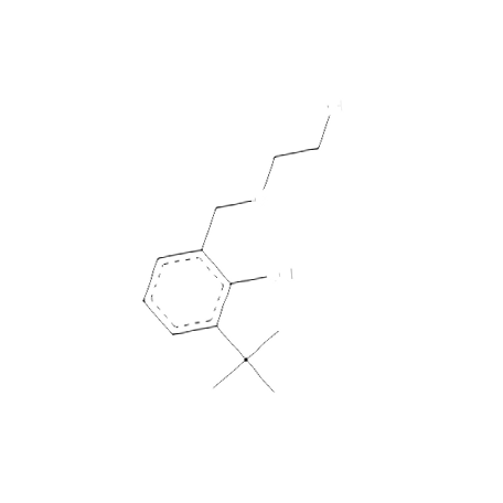 CC(C)(C)c1cccc(COCCO)c1O